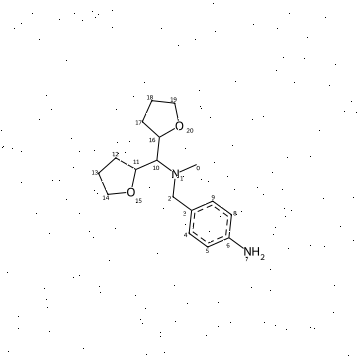 CN(Cc1ccc(N)cc1)C(C1CCCO1)C1CCCO1